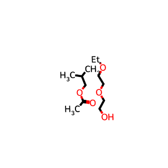 CC(=O)OCC(C)C.CCOCCOCCO